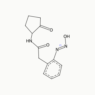 O=C(Cc1ccccc1/N=N/O)NC1CCCC1=O